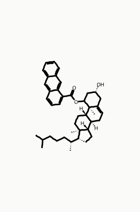 CC(C)CCC[C@@H](C)[C@H]1CC[C@H]2[C@@H]3CC=C4C[C@@H](O)CC(OC(=O)c5cccc6cc7ccccc7cc56)[C@]4(C)[C@H]3CC[C@]12C